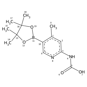 Cc1cc(NC(=O)O)ncc1B1OC(C)(C)C(C)(C)O1